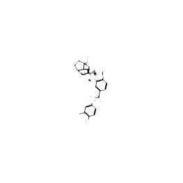 Cc1cc(NC(=O)c2ccc(Cl)c(S(=O)(=O)C3CC4CC[C@H](C3)[C@]4(O)CO)c2)ccc1F